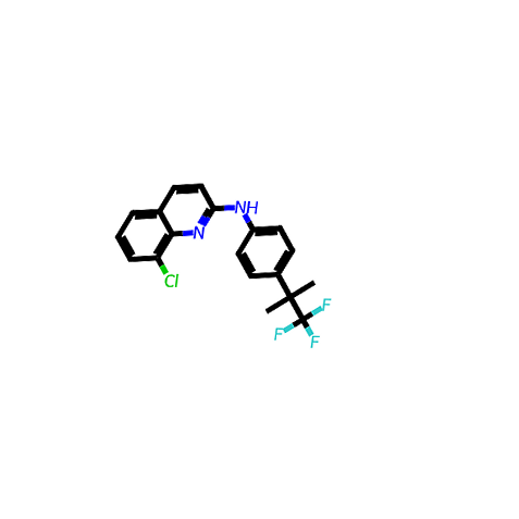 CC(C)(c1ccc(Nc2ccc3cccc(Cl)c3n2)cc1)C(F)(F)F